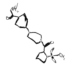 CS(=O)(=O)N1CCCC1C(=O)N1CCN(c2ccc(C(N)=O)cc2)CC1